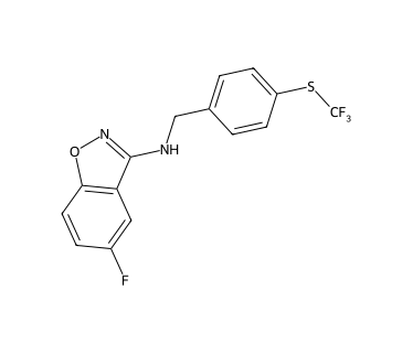 Fc1ccc2onc(NCc3ccc(SC(F)(F)F)cc3)c2c1